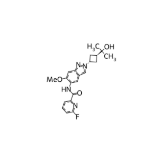 COc1cc2nn([C@H]3C[C@H](C(C)(C)O)C3)cc2cc1NC(=O)c1cccc(F)n1